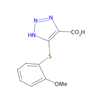 COc1ccccc1Sc1[nH]nnc1C(=O)O